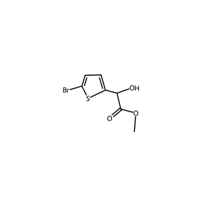 COC(=O)C(O)c1ccc(Br)s1